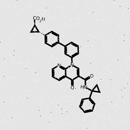 O=C(NC1(c2ccccc2)CC1)c1cn(-c2cccc(-c3ccc([C@@H]4C[C@H]4C(=O)O)cc3)c2)c2ncccc2c1=O